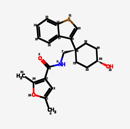 Cc1cc(C(=O)NC[C@]2(c3csc4ccccc43)CC[C@H](O)CC2)c(C)o1